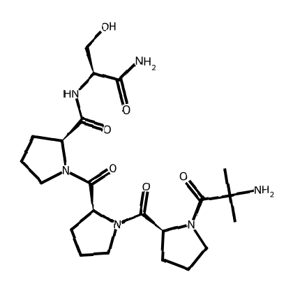 CC(C)(N)C(=O)N1CCC[C@H]1C(=O)N1CCC[C@H]1C(=O)N1CCC[C@H]1C(=O)N[C@@H](CO)C(N)=O